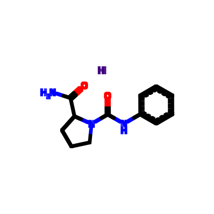 I.NC(=O)C1CCCN1C(=O)Nc1ccccc1